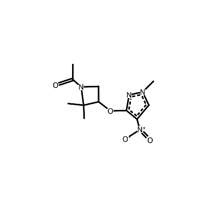 CC(=O)N1CC(Oc2nn(C)cc2[N+](=O)[O-])C1(C)C